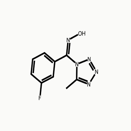 Cc1nnnn1C(=NO)c1cccc(F)c1